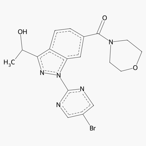 CC(O)c1nn(-c2ncc(Br)cn2)c2cc(C(=O)N3CCOCC3)ccc12